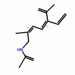 C=C/C(=C/C=C(/C)CNC(=C)C)C(=C)C